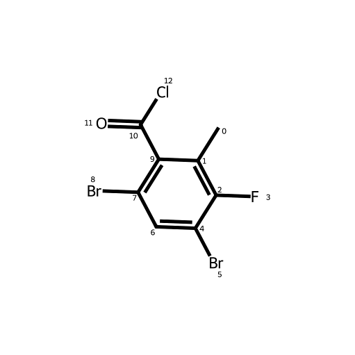 Cc1c(F)c(Br)cc(Br)c1C(=O)Cl